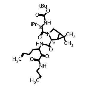 C=CCCC(NC(=O)[C@@H]1C2C(CN1C(=O)[C@@H](NC(=O)OC(C)(C)C)C(C)C)C2(C)C)C(=O)C(=O)NCC=C